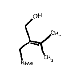 CNCC(CO)=C(C)C